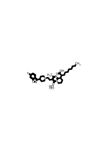 CCCCCCCCC(C(=O)O)C1CCCn2c1nc(C)c(CCN1CCC(c3noc4cc(F)ccc34)CC1)c2=O.Cl.Cl